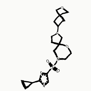 O=S(=O)(c1cnc(C2CC2)s1)N1CCOC2(CCN(C3CC4(COC4)C3)C2)C1